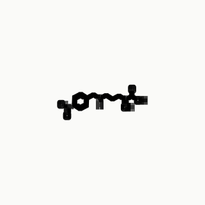 O=C(O)N(O)CCCNCc1ccc([N+](=O)[O-])cc1